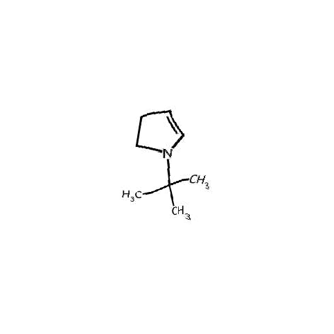 CC(C)(C)N1C=CCC1